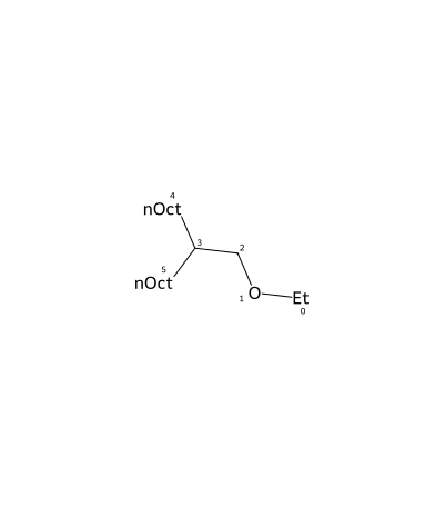 [CH2]COCC(CCCCCCCC)CCCCCCCC